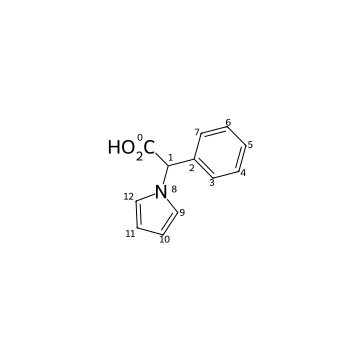 O=C(O)C(c1ccccc1)n1cccc1